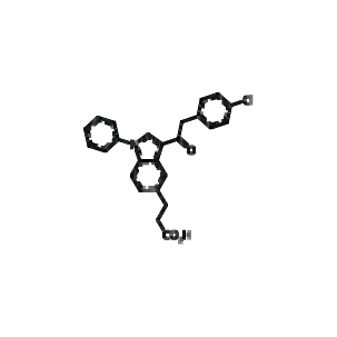 O=C(O)CCc1ccc2c(c1)c(C(=O)Cc1ccc(Cl)cc1)cn2-c1ccccc1